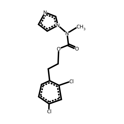 CN(C(=O)OCCc1ccc(Cl)cc1Cl)n1ccnc1